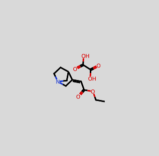 CCOC(=O)C=C1CN2CCC1C2.O=C(O)C(=O)O